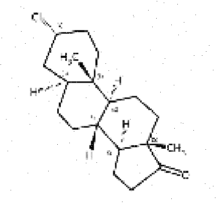 C[C@]12CC[C@@H](Cl)C[C@@H]1CC[C@@H]1[C@@H]2CC[C@]2(C)C(=O)CC[C@@H]12